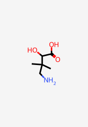 CC(C)(CN)C(O)C(=O)O